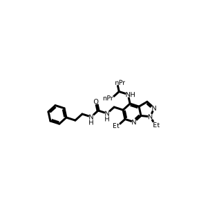 CCCC(CCC)Nc1c(CNC(=O)NCCc2ccccc2)c(CC)nc2c1cnn2CC